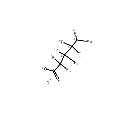 O=C([O-])C(F)(F)C(F)(F)C(F)(F)C(F)F.[Li+]